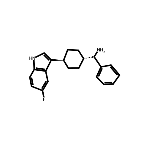 NC(c1ccccc1)[C@H]1CC[C@H](c2c[nH]c3ccc(F)cc32)CC1